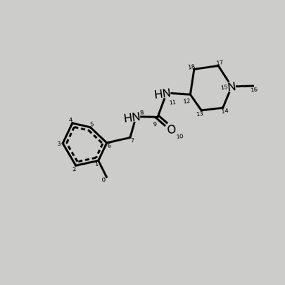 Cc1ccccc1CNC(=O)NC1CCN(C)CC1